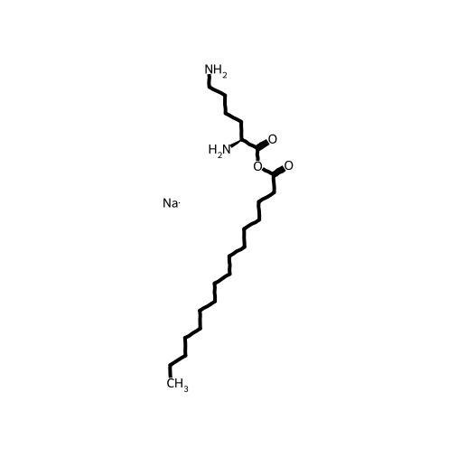 CCCCCCCCCCCCCCCC(=O)OC(=O)[C@@H](N)CCCCN.[Na]